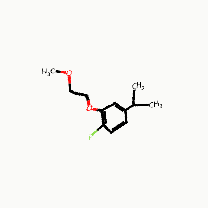 COCCOc1cc(C(C)C)ccc1F